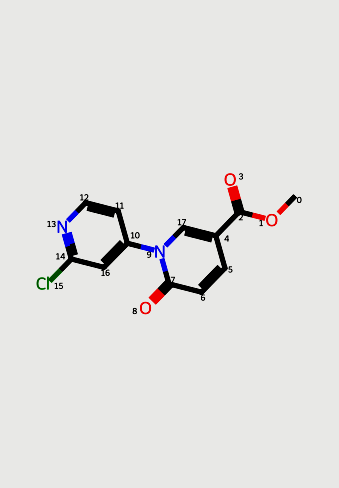 COC(=O)c1ccc(=O)n(-c2ccnc(Cl)c2)c1